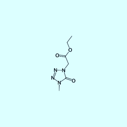 CCOC(=O)Cn1nnn(C)c1=O